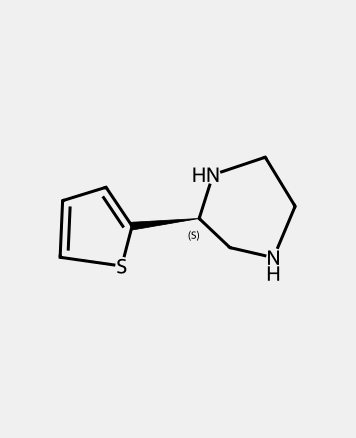 c1csc([C@@H]2CNCCN2)c1